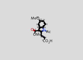 COC(=O)c1c(/C=C/C(=O)O)n(C(C)=O)c2ccc(OC)cc12